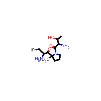 CC(C)CC(N)C(=O)C1(C(=O)O)CCCN1C(=O)C(N)C(C)O